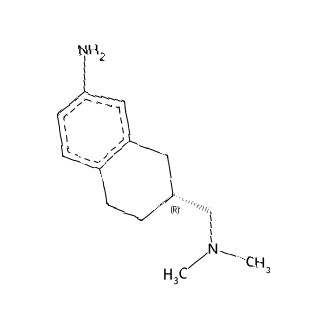 CN(C)C[C@@H]1CCc2ccc(N)cc2C1